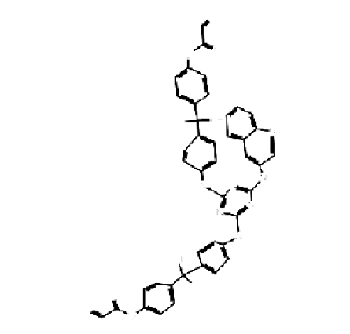 C=CC(=O)Oc1ccc(C(C)(C)c2ccc(Nc3nc(Nc4ccc(C(C)(C)c5ccc(OC(=O)C=C)cc5)cc4)nc(Nc4cnc5ccccc5c4)n3)cc2)cc1